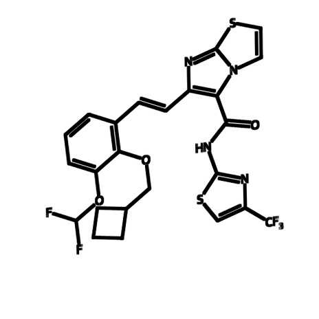 O=C(Nc1nc(C(F)(F)F)cs1)c1c(C=Cc2cccc(OC(F)F)c2OCC2CCC2)nc2sccn12